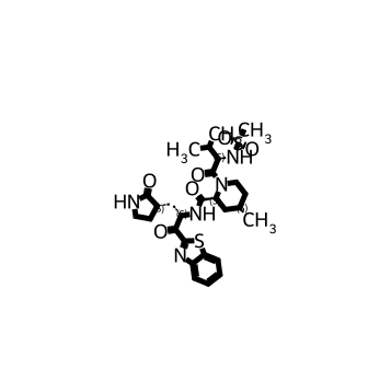 CC(C)[C@H](NS(C)(=O)=O)C(=O)N1CC[C@H](C)C[C@H]1C(=O)N[C@@H](C[C@@H]1CCNC1=O)C(=O)c1nc2ccccc2s1